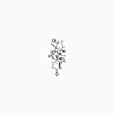 C[C@]12CCC(=O)C=C1CC[C@H]1[C@@H]3CCC(=O)[C@@]3(C)CC(F)[C@]12Br